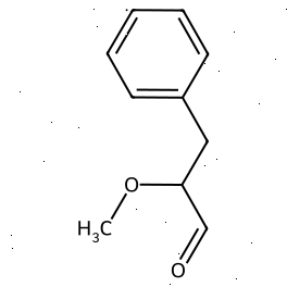 COC(C=O)Cc1cc[c]cc1